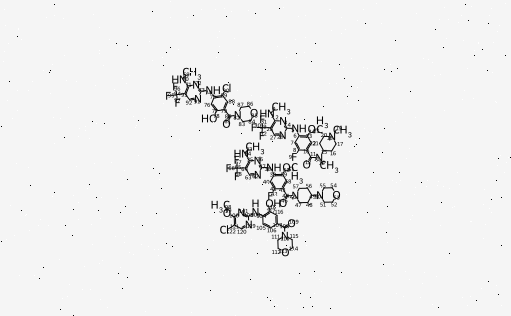 CNc1nc(Nc2cc(F)c(C(=O)N(C)C3CCN(C)CC3)cc2OC)ncc1C(F)(F)F.CNc1nc(Nc2cc(F)c(C(=O)N3CCC(N4CCOCC4)CC3)cc2OC)ncc1C(F)(F)F.CNc1nc(Nc2cc(O)c(C(=O)N3CCOCC3)cc2Cl)ncc1C(F)(F)F.COc1nc(Nc2ccc(C(=O)N3CCOCC3)cc2O)ncc1Cl